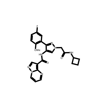 COc1ccc(F)cc1-c1nn(CC(=O)NC2CCC2)cc1NC(=O)c1cnn2cccnc12